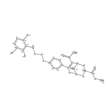 O=C(O)C1=C(c2ccc(CCCOc3c(F)ccc(F)c3F)cc2)CC2CN(C(=O)CO)CC1N2